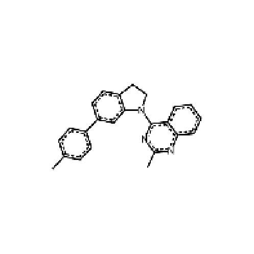 Cc1ccc(-c2ccc3c(c2)N(c2nc(C)nc4ccccc24)CC3)cc1